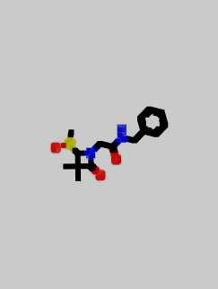 C[S+]([O-])C1N(CC(=O)NCc2ccccc2)C(=O)C1(C)C